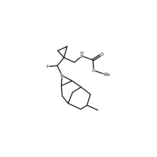 CC1CC2CC(C1)C1C(C2)N1C(F)C1(CNC(=O)OC(C)(C)C)CC1